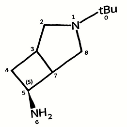 CC(C)(C)N1CC2C[C@H](N)C2C1